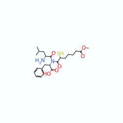 COC(=O)CCCCC(S)C(=O)N(C(=O)C(N)CC(C)C)C(Cc1ccccc1)C(=O)O